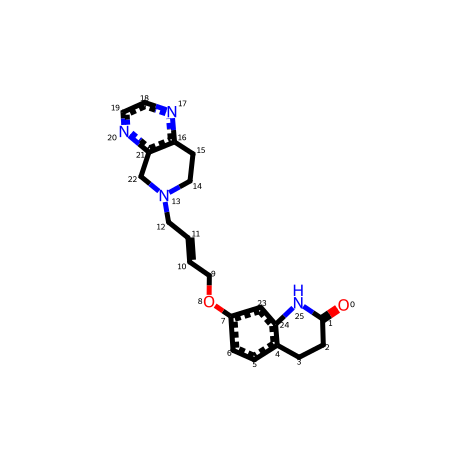 O=C1CCc2ccc(OC/C=C/CN3CCc4nccnc4C3)cc2N1